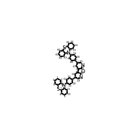 c1ccc2c(c1)Sc1ccccc1N2c1ccc(-c2cnc3oc4ncc(-c5ccc(N6c7ccccc7Sc7ccccc76)cc5)cc4c3c2)cc1